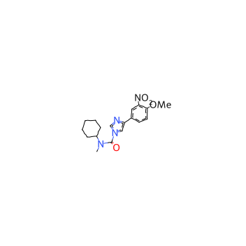 COc1ccc(-c2cn(C(=O)N(C)C3CCCCC3)cn2)cc1[N+](=O)[O-]